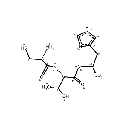 C[C@@H](O)[C@H](NC(=O)[C@@H](N)CS)C(=O)N[C@@H](Cc1c[nH]cn1)C(=O)O